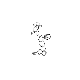 Cc1cccc2cc(O)cc(N3CCc4c(nc(OC[C@@]56C[C@@H](F)CN5[C@@H]5CCC[C@@H]5C6)nc4N4CC5CCC(C4)N5)C3)c12